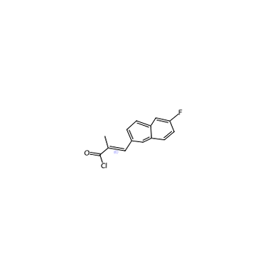 C/C(=C\c1ccc2cc(F)ccc2c1)C(=O)Cl